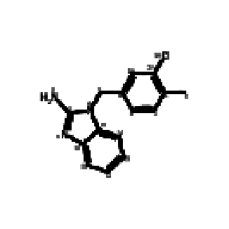 Cc1ccc(Cn2c(N)nc3ccccc32)cc1Cl